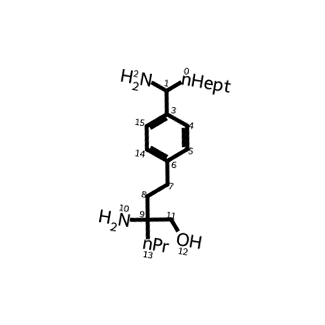 CCCCCCCC(N)c1ccc(CCC(N)(CO)CCC)cc1